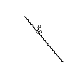 CCCCCCCCCCCCCCCCCCCCCCC(=O)OC(CC=O)CCCCCCCCCCC